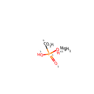 O=C(O)P(=O)(O)O.[MgH2]